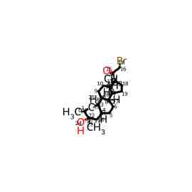 C[C@H]1C[C@H]2[C@@H](CC[C@@H]3[C@@H]2CC[C@]2(C)[C@@H](C(=O)CBr)CC[C@@H]32)C[C@]1(C)O